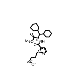 COC(=O)[C@@H](NC(=O)c1ccnn1CCC[S+](C)[O-])C(C1CCCCC1)C1CCCCC1